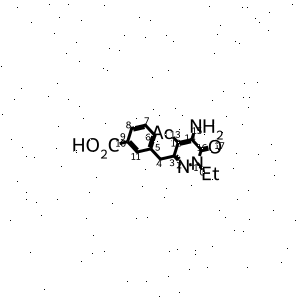 CCn1nc(Cc2cccc(C(=O)O)c2)c(C(C)=O)c(N)c1=O